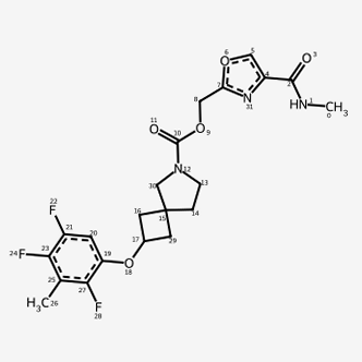 CNC(=O)c1coc(COC(=O)N2CCC3(CC(Oc4cc(F)c(F)c(C)c4F)C3)C2)n1